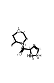 CC1COCCN1C(=O)C1C=CNN1